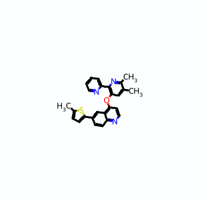 Cc1ccc(-c2ccc3nccc(Oc4cc(C)c(C)nc4-c4ccccn4)c3c2)s1